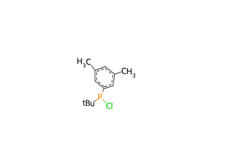 Cc1cc(C)cc(P(Cl)C(C)(C)C)c1